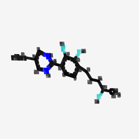 CCCCCCCCCc1cnc(-c2ccc(CCCC(C)F)c(F)c2F)nc1